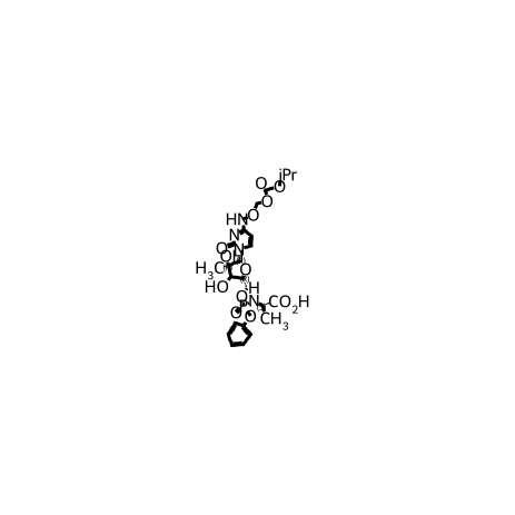 CC(C)OC(=O)OCONc1ccn([C@@H]2O[C@H](COP(=O)(N[C@@H](C)C(=O)O)Oc3ccccc3)C(O)[C@@]2(C)O)c(=O)n1